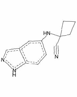 N#CC1(Nc2ccc3[nH]ncc3c2)CCC1